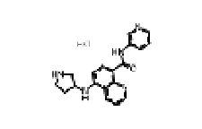 Cl.O=C(Nc1cccnc1)c1ccc(NC2CCNC2)c2cccnc12